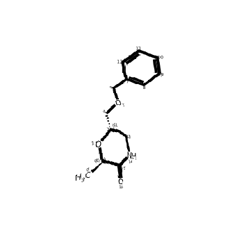 C[C@H]1O[C@H](COCc2ccccc2)CNC1=O